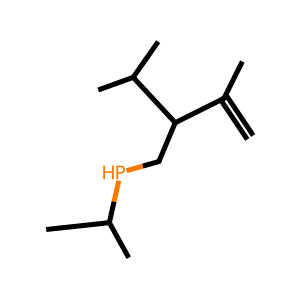 C=C(C)C(CPC(C)C)C(C)C